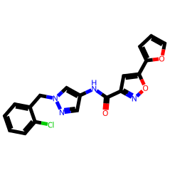 O=C(Nc1cnn(Cc2ccccc2Cl)c1)c1cc(-c2ccco2)on1